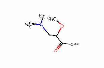 COC(=O)C(CN(C)C)O[C]=O